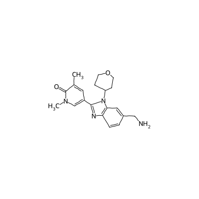 Cc1cc(-c2nc3ccc(CN)cc3n2C2CCOCC2)cn(C)c1=O